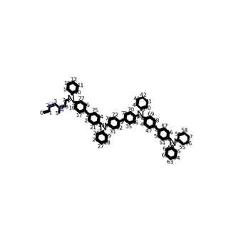 C=C/C=C\C(C)=C/CN(c1ccccc1)c1ccc(-c2ccc(N(c3ccccc3)c3ccc(-c4ccc(N(C5=CCCC=C5)c5ccc(-c6ccc(N(C7=CCCC=C7)c7ccccc7)cc6)cc5)cc4)cc3)cc2)cc1